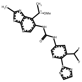 CO[C@@H](C)c1c(NC(=O)Nc2cnc(-n3nccn3)c(C(F)F)c2)cnc2sc(C)nc12